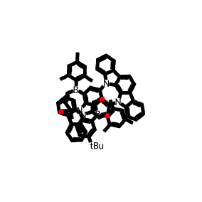 Cc1cc(C)c(B2C=CC(C)(C)N3c4ccc(C(C)(C)C)cc4B(c4c(C)cc(C)cc4C)c4cc(-n5c6ccccc6c6ccc7c8ccccc8n(-c8ccc(-n9c%10ccccc%10c%10ccccc%109)cc8)c7c65)cc2c43)c(C)c1